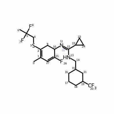 CC1=C(SCC(C)(F)F)CC(/N=C(\NCC2CCCC(C(F)(F)F)C2)C2CC2)C(F)=C1